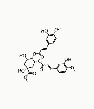 COC(=O)[C@@]1(O)C[C@@H](O)[C@H](OC(=O)/C=C/c2ccc(OC)c(O)c2)[C@H](OC(=O)/C=C/c2ccc(OC)c(O)c2)C1